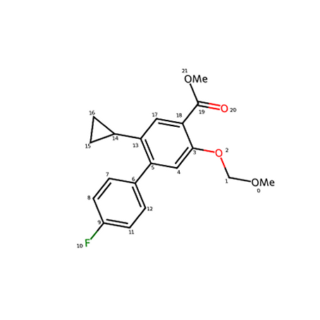 COCOc1cc(-c2ccc(F)cc2)c(C2CC2)cc1C(=O)OC